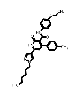 CCCCCCn1cc(-c2cc(-c3ccc(C)cc3)c(C(=O)Nc3ccc(OCC)cc3)c(=O)[nH]2)cn1